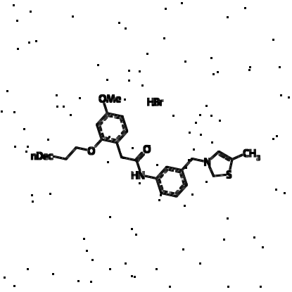 Br.CCCCCCCCCCCCOc1cc(OC)ccc1CC(=O)Nc1cccc(CN2C=C(C)SC2)c1